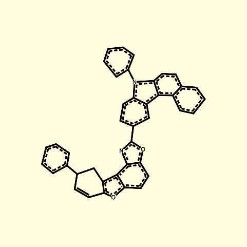 C1=CC(c2ccccc2)Cc2c1oc1ccc3oc(-c4ccc5c(c4)c4c6ccccc6ccc4n5-c4ccccc4)nc3c21